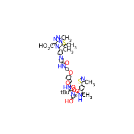 Cc1ncsc1-c1ccc([C@H](C)NC(=O)[C@@H]2C[C@@H](O)CN2C(=O)[C@@H](NC(=O)c2cc3cc(O[C@H]4C[C@@H](NC(=O)[C@@H]5CCN(c6ccc(C7=N[C@@H](CC(=O)O)c8nnc(C)n8-c8sc(C)c(C)c87)cc6)C5)C4)ccc3o2)C(C)(C)C)cc1